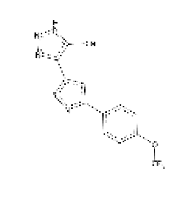 N#Cc1[nH]nnc1-c1cc(-c2ccc(OC(F)(F)F)cc2)ns1